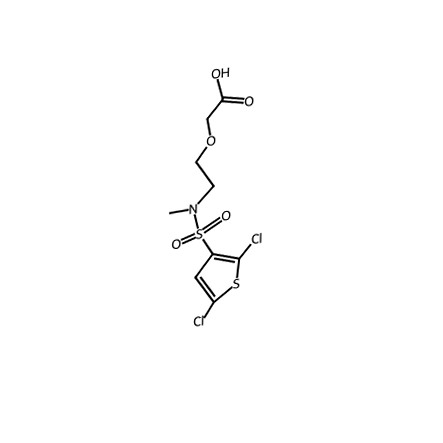 CN(CCOCC(=O)O)S(=O)(=O)c1cc(Cl)sc1Cl